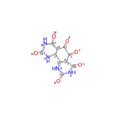 O=C1C(=O)c2c([nH]c(=O)[nH]c2=O)-c2[nH]c(=O)[nH]c(=O)c21